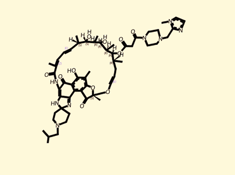 C/C1=C/C=C/[C@H](C)[C@H](O)[C@@H](C)[C@@H](O)[C@@H](C)[C@H](OC(=O)CC(=O)N2CCN(Cc3nccn3C)CC2)[C@H](C)C/C=C/O[C@@]2(C)Oc3c(C)c(O)c4c(c3C2=O)C2=NC3(CCN(CC(C)C)CC3)NC2=C(NC1=O)C4=O